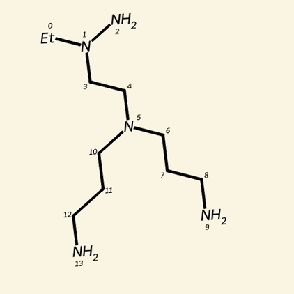 CCN(N)CCN(CCCN)CCCN